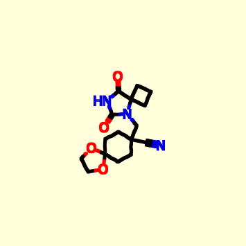 N#CC1(CN2C(=O)NC(=O)C23CCC3)CCC2(CC1)OCCO2